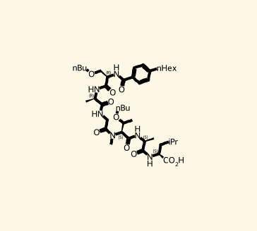 CCCCCCc1ccc(C(=O)N[C@H](COCCCC)C(=O)N[C@H](C)C(=O)NCC(=O)N(C)[C@H](C(=O)N[C@@H](C)C(=O)N[C@@H](CC(C)C)C(=O)O)C(C)OCCCC)cc1